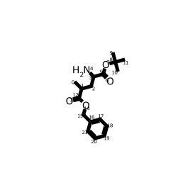 CC(CC(N)C(=O)OC(C)(C)C)C(=O)OCc1ccccc1